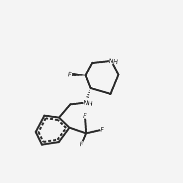 F[C@H]1CNCC[C@@H]1NCc1ccccc1C(F)(F)F